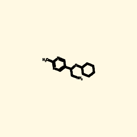 Cc1ncc(C(CN)OC2CCCCC2)cn1